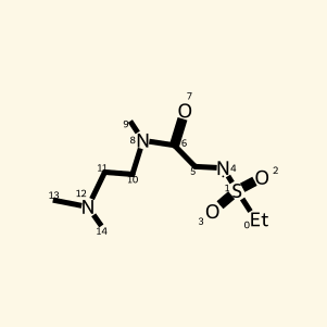 CCS(=O)(=O)[N]CC(=O)N(C)CCN(C)C